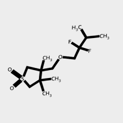 CC(C)C(F)(F)COCC1(C)CS(=O)(=O)CC1(C)C